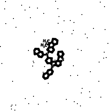 CC1(C)c2ccccc2-c2ccc(N(c3ccc4ccccc4c3)c3ccc4c(c3)c3c5c(ccc3n4-c3ccc4ccccc4c3)sc3ccccc35)cc21